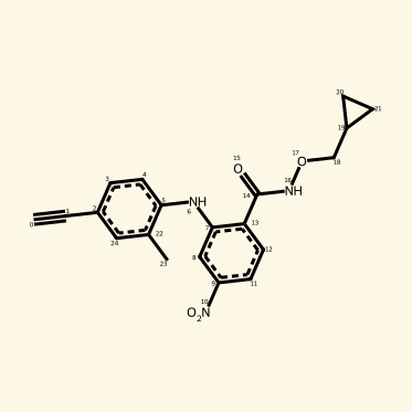 C#Cc1ccc(Nc2cc([N+](=O)[O-])ccc2C(=O)NOCC2CC2)c(C)c1